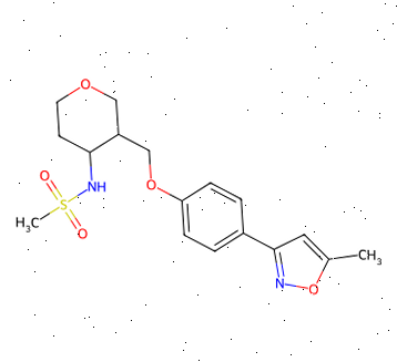 Cc1cc(-c2ccc(OCC3COCCC3NS(C)(=O)=O)cc2)no1